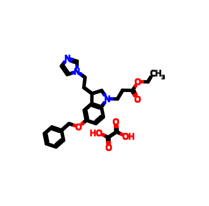 CCOC(=O)CCN1CC(CCn2ccnc2)c2cc(OCc3ccccc3)ccc21.O=C(O)C(=O)O